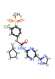 CS(=O)(=O)c1ccc([C@@H](CC2CCCC2)C(=O)Nc2cnc(C3=NCCN3)cn2)cc1Cl